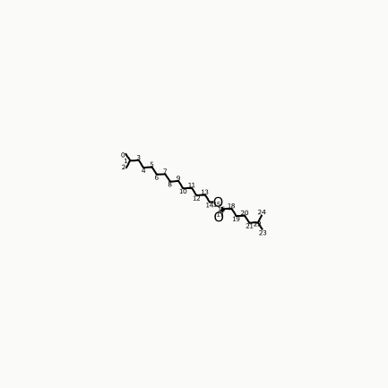 CC(C)CCCCCCCCCCCCOC(=O)CCCCC(C)C